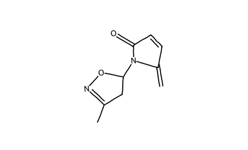 C=C1C=CC(=O)N1C1CC(C)=NO1